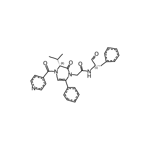 CC(C)[C@@H]1C(=O)N(CC(=O)N[C@H](C=O)Cc2ccccc2)C(c2ccccc2)=CN1C(=O)c1ccncc1